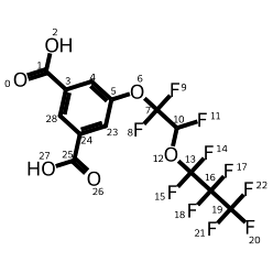 O=C(O)c1cc(OC(F)(F)C(F)OC(F)(F)C(F)(F)C(F)(F)F)cc(C(=O)O)c1